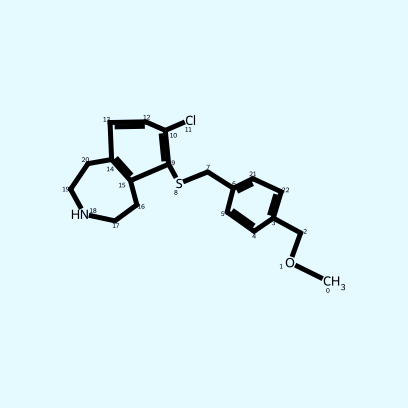 COCc1ccc(CSc2c(Cl)ccc3c2CCNCC3)cc1